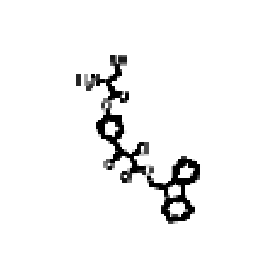 N[C@@H](CS)C(=O)Oc1ccc(C(=O)C(Cl)C(=O)OCC2c3ccccc3-c3ccccc32)cc1